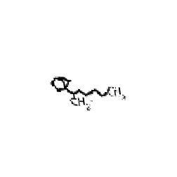 [CH2][C@H](CCCCC)C12CCC(CC1)C2